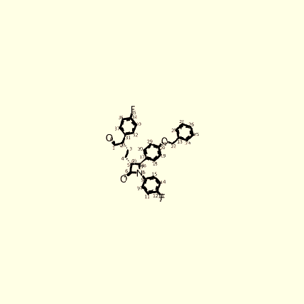 O=C[C@@H](CC[C@H]1C(=O)N(c2ccc(F)cc2)[C@@H]1c1ccc(OCc2ccccc2)cc1)c1ccc(F)cc1